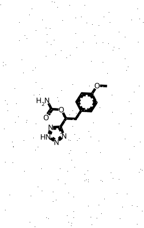 COc1ccc(CC(OC(N)=O)c2nn[nH]n2)cc1